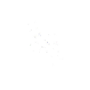 COC(=O)C[C@@]1(C)CC[C@@H](c2ccc(Cl)cc2)N(C(CN[S+]([O-])c2cccs2)C2CC2)C1=O